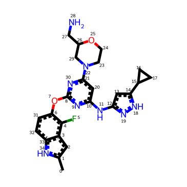 Cc1cc2c(F)c(Oc3nc(Nc4cc(C5CC5)[nH]n4)cc(N4CCOC(CN)C4)n3)ccc2[nH]1